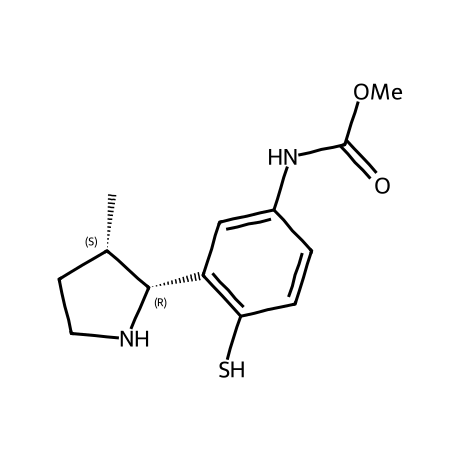 COC(=O)Nc1ccc(S)c([C@@H]2NCC[C@@H]2C)c1